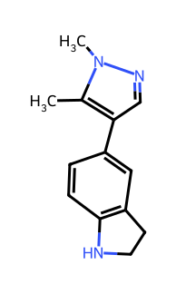 Cc1c(-c2ccc3c(c2)CCN3)cnn1C